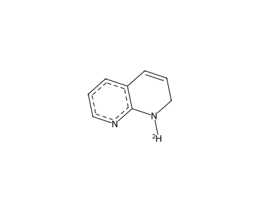 [2H]N1CC=Cc2cccnc21